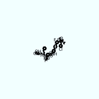 Cc1c(S(C)(=O)=O)c(-c2cc(F)cc(N3CCN(c4ccc(NS(=O)(=O)c5ccc(N[C@H](CCN6CC(C)(C(=O)O)C6)CSc6ccccc6)c(S(=O)(=O)C(F)(F)F)c5)cc4)CC3)c2)c(-c2ccc(Cl)cc2)n1C(C)C